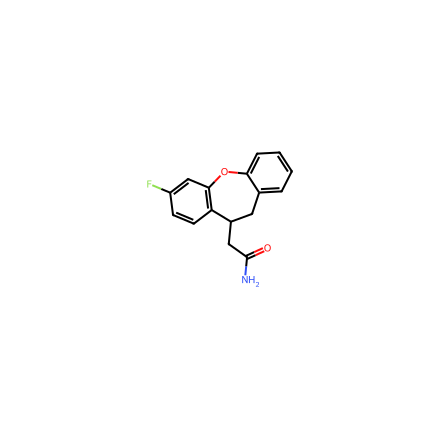 NC(=O)CC1Cc2ccccc2Oc2cc(F)ccc21